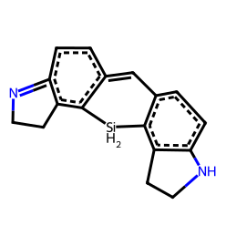 C1=c2ccc3c(c2[SiH2]c2c1ccc1c2CCN1)CCN=3